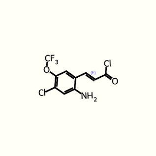 Nc1cc(Cl)c(OC(F)(F)F)cc1/C=C/C(=O)Cl